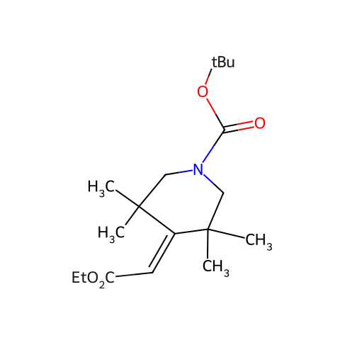 CCOC(=O)C=C1C(C)(C)CN(C(=O)OC(C)(C)C)CC1(C)C